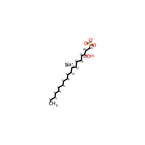 CCCCCCCCCCCCCCCCC(O)CCS(=O)(=O)[O-].[Na+]